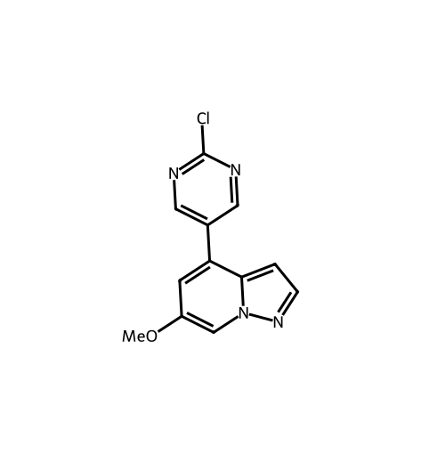 COc1cc(-c2cnc(Cl)nc2)c2ccnn2c1